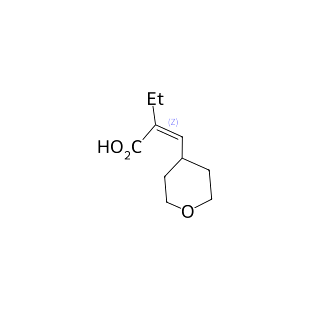 CC/C(=C/C1CCOCC1)C(=O)O